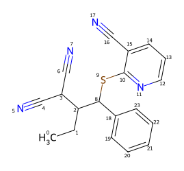 CCC(C(C#N)C#N)C(Sc1ncccc1C#N)c1ccccc1